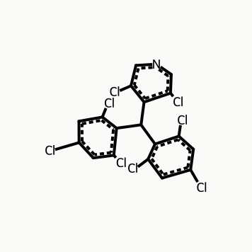 Clc1cc(Cl)c(C(c2c(Cl)cncc2Cl)c2c(Cl)cc(Cl)cc2Cl)c(Cl)c1